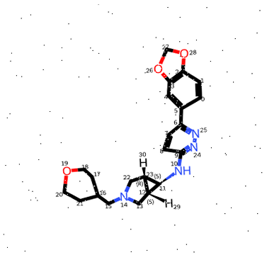 c1cc2c(cc1-c1ccc(N[C@H]3[C@@H]4CN(CC5CCOCC5)C[C@@H]43)nn1)OCO2